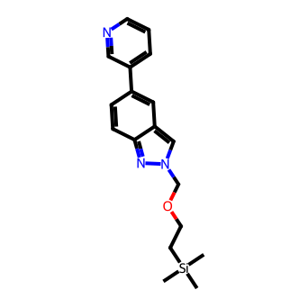 C[Si](C)(C)CCOCn1cc2cc(-c3cccnc3)ccc2n1